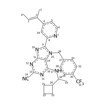 CC=C(C)c1ccnc(-c2nc3nc(C#N)nc(NC(C)C4CCC4)c3n2Cc2ccc(C(F)(F)F)cc2)c1